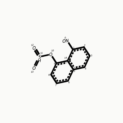 O=Nc1cccc2cccc(O[SH](=O)=O)c12